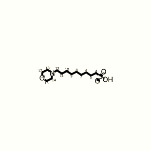 O=S(=O)(O)CCCCCCCCCN1CCOCC1